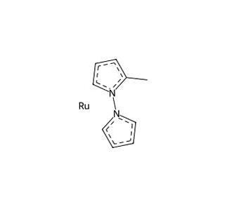 Cc1cccn1-n1cccc1.[Ru]